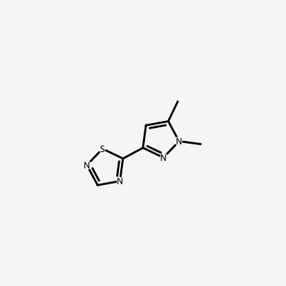 Cc1cc(-c2ncns2)nn1C